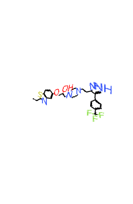 CCc1nc2cc(OCC(O)CN3CCN(CCc4n[nH]cc4-c4ccc(C(F)(F)F)cc4)CC3)ccc2s1